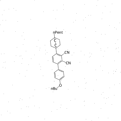 CCCCCC12CCC(c3ccc(-c4ccc(OCCCC)cc4)c(C#N)c3C#N)(CC1)CC2